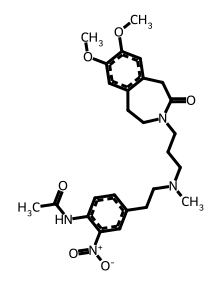 COc1cc2c(cc1OC)CC(=O)N(CCCN(C)CCc1ccc(NC(C)=O)c([N+](=O)[O-])c1)CC2